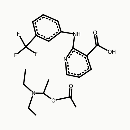 CCN(CC)C(C)OC(C)=O.O=C(O)c1cccnc1Nc1cccc(C(F)(F)F)c1